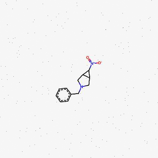 O=[N+]([O-])C1C2CN(Cc3ccccc3)CC21